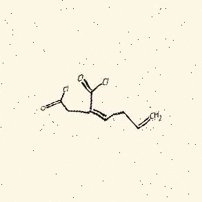 C=CCC=C(CC(=O)Cl)C(=O)Cl